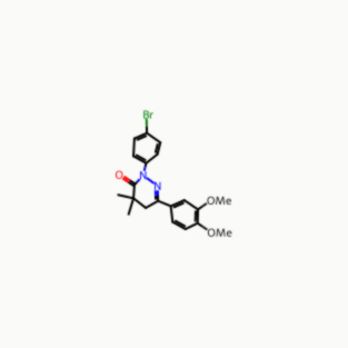 COc1ccc(C2=NN(c3ccc(Br)cc3)C(=O)C(C)(C)C2)cc1OC